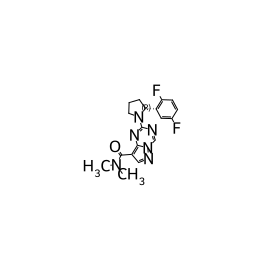 CN(C)C(=O)c1cnn2cnc(N3CCC[C@@H]3c3cc(F)ccc3F)nc12